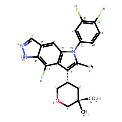 CC(C)c1c([C@H]2COC[C@](C)(C(=O)O)C2)c2c(F)c3[nH]ncc3cc2n1-c1ccc(F)c(F)c1